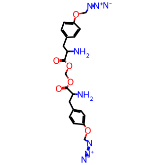 [N-]=[N+]=NCOc1ccc(CC(N)C(=O)OCOC(=O)C(N)Cc2ccc(OCN=[N+]=[N-])cc2)cc1